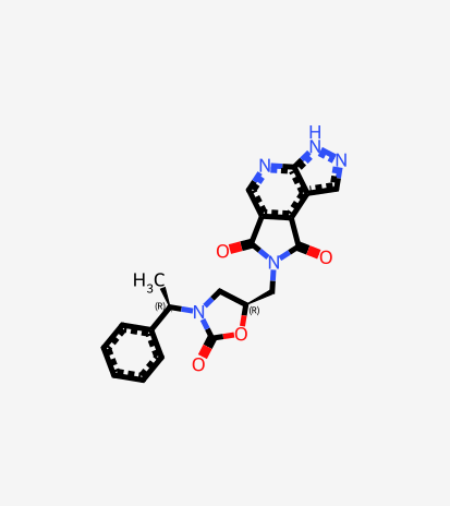 C[C@H](c1ccccc1)N1C[C@@H](CN2C(=O)c3cnc4[nH]ncc4c3C2=O)OC1=O